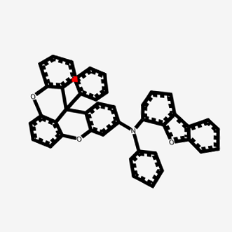 c1ccc(N(c2ccc3c(c2)Oc2cccc4c2C3(c2ccccc2)c2ccccc2O4)c2cccc3c2oc2ccccc23)cc1